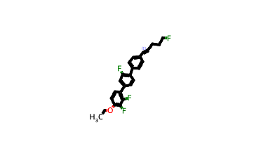 CCOc1ccc(-c2ccc(-c3ccc(/C=C/CCCF)cc3)c(F)c2)c(F)c1F